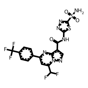 NS(=O)(=O)c1nnc(NC(=O)c2cnn3c(C(F)F)cc(-c4ccc(C(F)(F)F)cc4)nc23)s1